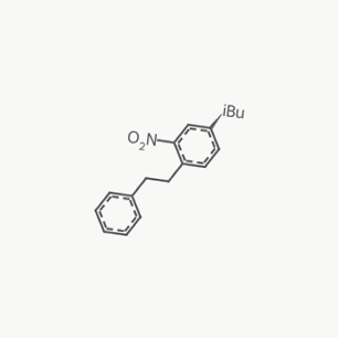 CC[C@H](C)c1ccc(CCc2ccccc2)c([N+](=O)[O-])c1